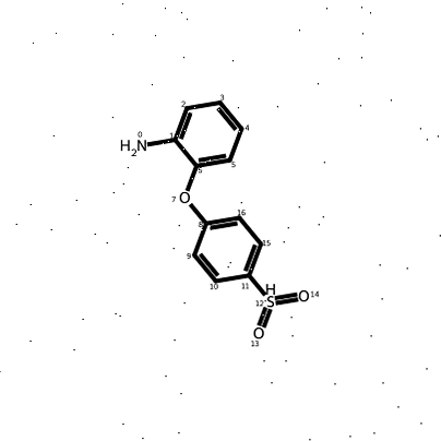 Nc1ccccc1Oc1ccc([SH](=O)=O)cc1